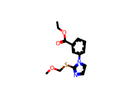 CCOC(=O)c1cccc(-n2ccnc2SCOC)c1